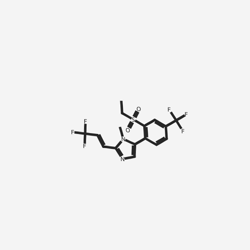 CCS(=O)(=O)c1cc(C(F)(F)F)ccc1-c1cnc(C=CC(F)(F)F)n1C